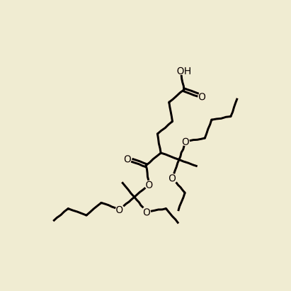 CCCCOC(C)(OCC)OC(=O)C(CCCC(=O)O)C(C)(OCC)OCCCC